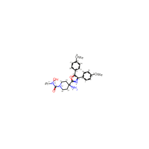 COc1ccc(-c2nc(C3(N)CCN(C(=O)N(O)C(C)C)CC3)oc2-c2ccc(OC)cc2)cc1